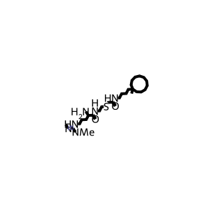 C/N=C(/NC)NCCCC(N)C(=O)NCCSCC(=O)NCCCCC1(C)CCCCCCCCCC1